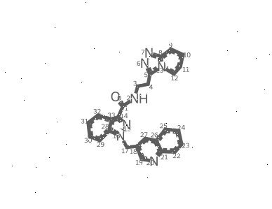 O=C(NCCc1nnc2ccccn12)c1nn(Cc2cnc3ccccc3c2)c2ccccc12